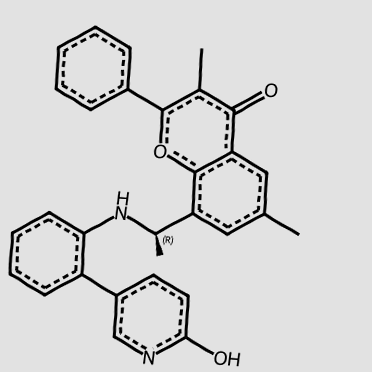 Cc1cc([C@@H](C)Nc2ccccc2-c2ccc(O)nc2)c2oc(-c3ccccc3)c(C)c(=O)c2c1